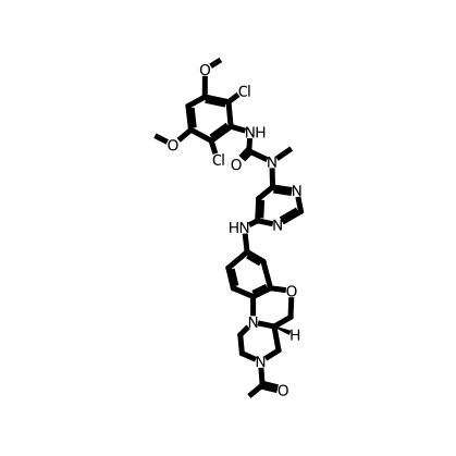 COc1cc(OC)c(Cl)c(NC(=O)N(C)c2cc(Nc3ccc4c(c3)OC[C@@H]3CN(C(C)=O)CCN43)ncn2)c1Cl